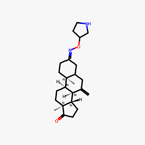 C=C1CC2CC(=NOC3CCNC3)CC[C@]2(C)[C@@H]2CC[C@]3(C)C(=O)CC[C@H]3[C@H]12